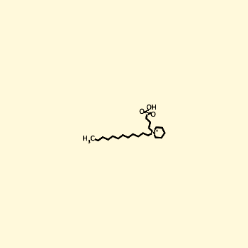 CCCCCCCCCCCC[N+]1(CCCS(=O)(=O)O)CCCCC1